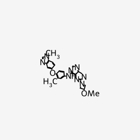 COC1CN(c2ncc3ncnc(Nc4ccc(Oc5ccc6c(c5)ncn6C)c(C)c4)c3n2)C1